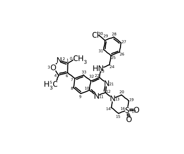 Cc1noc(C)c1-c1ccc2nc(N3CCS(=O)(=O)CC3)nc(NCc3cccc(Cl)c3)c2c1